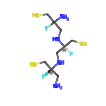 NC[C@](F)(CS)NC[C@](F)(CS)NCC(N)(F)CS